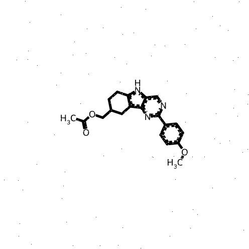 COc1ccc(-c2ncc3[nH]c4c(c3n2)CC(COC(C)=O)CC4)cc1